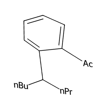 CCCCC(CCC)c1ccccc1C(C)=O